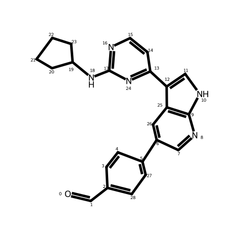 O=Cc1ccc(-c2cnc3[nH]cc(-c4ccnc(NC5CCCC5)n4)c3c2)cc1